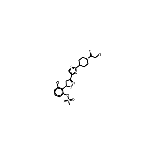 CS(=O)(=O)Oc1cccc(Cl)c1C1CC(c2csc(C3CCN(C(=O)CCl)CC3)n2)=NO1